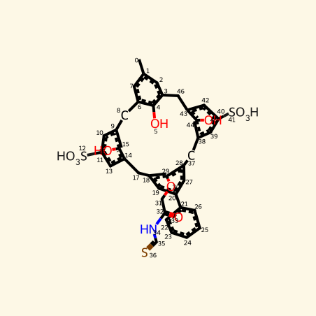 Cc1cc2c(O)c(c1)Cc1cc(S(=O)(=O)O)cc(c1O)Cc1cc(-c3ccccc3)cc(c1OCC(=O)NC=S)Cc1cc(S(=O)(=O)O)cc(c1O)C2